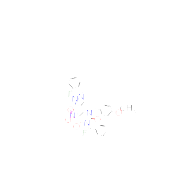 COc1ccc(Cn2c(-c3cnn(Cc4ccccc4F)c3)c([N+](=O)[O-])c(=O)n(C(F)c3ccccc3)c2=O)cc1